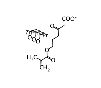 C=C(C)C(=O)OCCCC(=O)CC(=O)[O-].CCC[O-].CCC[O-].CCC[O-].[Zr+4]